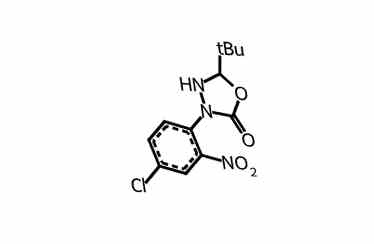 CC(C)(C)C1NN(c2ccc(Cl)cc2[N+](=O)[O-])C(=O)O1